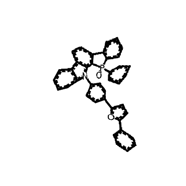 O=P1(c2ccccc2)c2ccccc2-c2ccc3c4ccccc4n(-c4ccc(-c5ccc(-c6ccccc6)o5)cc4)c3c21